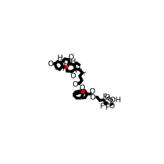 C[C@H](CCC(=O)OC12CC3CC(C1)CC(C(=O)OCCC(F)C(F)(F)S(=O)(=O)O)(C3)C2)[C@H]1CC[C@H]2[C@@H]3C(=O)C[C@@H]4CC(=O)CC[C@]4(C)[C@H]3CC(=O)[C@]12C